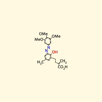 C=C(CCc1cc(C)cc(N=Nc2cc(OC)c(OC)c(OC)c2)c1O)C(=O)O